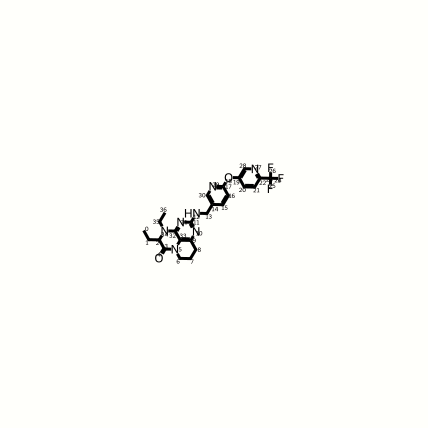 CCC1C(=O)N2CCCc3nc(NCc4ccc(Oc5ccc(C(F)(F)F)nc5)nc4)nc(c32)N1CC